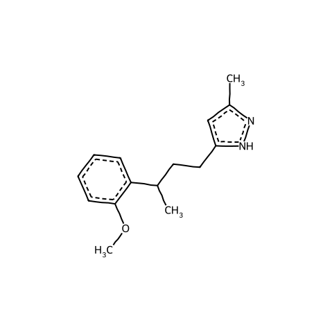 COc1ccccc1C(C)CCc1cc(C)n[nH]1